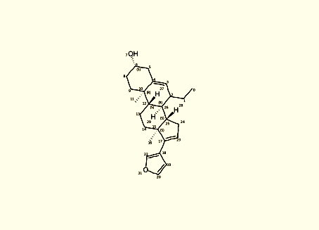 CCC1C=C2C[C@@H](O)CC[C@]2(C)[C@H]2CC[C@]3(C)C(c4ccoc4)=CC[C@H]3[C@H]12